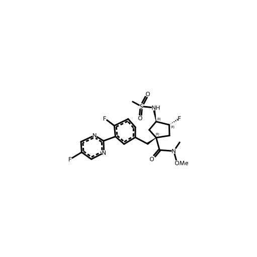 CON(C)C(=O)[C@@]1(Cc2ccc(F)c(-c3ncc(F)cn3)c2)C[C@@H](F)[C@H](NS(C)(=O)=O)C1